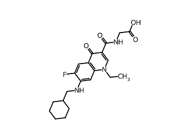 CCn1cc(C(=O)NCC(=O)O)c(=O)c2cc(F)c(NCC3CCCCC3)cc21